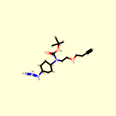 C#CCCOCCN(C(=O)OC(C)(C)C)C1CCC(N=[N+]=[N-])CC1